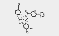 C[C@H](Oc1ccc(C#N)cn1)[C@H]1CN(C(=O)c2ccc(-n3cccn3)nc2)C[C@@H]1c1ccc(Cl)c(Cl)c1